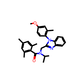 COc1ccc(-n2c(CN(C(=O)c3c(C)cc(C)cc3C)C(C)C)nc3ccccc32)c(C)c1